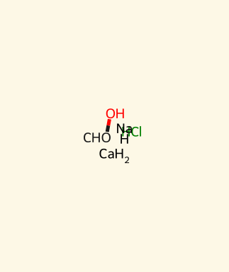 Cl.O=CO.[CaH2].[NaH]